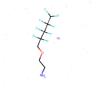 I.NCCOCC(F)(F)C(F)(F)C(F)(F)C(F)F